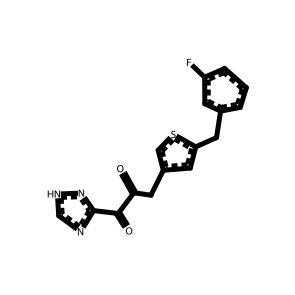 O=C(Cc1csc(Cc2cccc(F)c2)c1)C(=O)c1nc[nH]n1